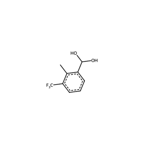 Cc1c(C(O)O)cccc1C(F)(F)F